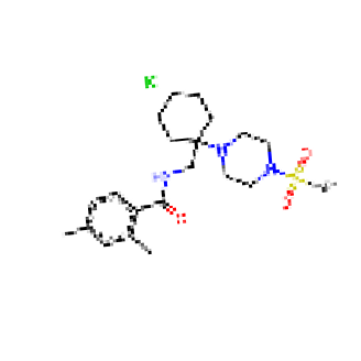 CCCS(=O)(=O)N1CCN(C2(CNC(=O)c3ccc(C)cc3C)CCCCC2)CC1.Cl